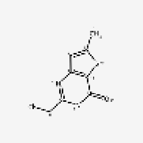 Cc1cc2nc(CCl)[nH]c(=O)c2s1